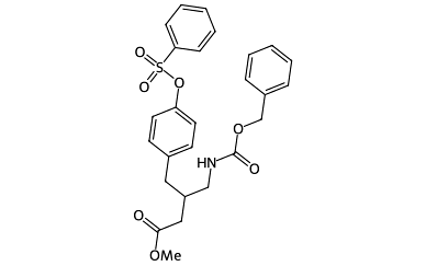 COC(=O)CC(CNC(=O)OCc1ccccc1)Cc1ccc(OS(=O)(=O)c2ccccc2)cc1